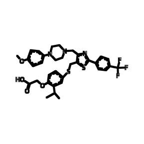 COc1ccc(N2CCN(Cc3nc(-c4ccc(C(F)(F)F)cc4)sc3CSc3ccc(OCC(=O)O)c(C(C)C)c3)CC2)cc1